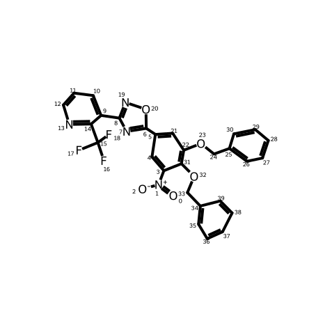 O=[N+]([O-])c1cc(-c2nc(-c3cccnc3C(F)(F)F)no2)cc(OCc2ccccc2)c1OCc1ccccc1